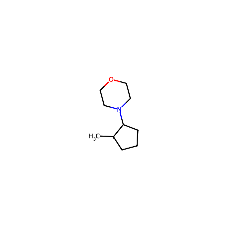 C[C]1CCCC1N1CCOCC1